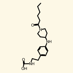 CCCCCC(=O)N1CCC(Nc2ccc(CCNC(=O)O)cc2)CC1